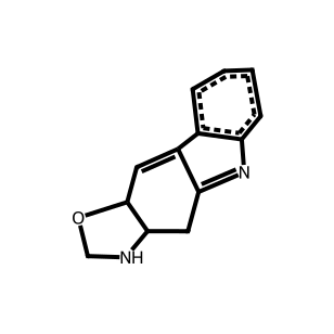 C1=C2C(=Nc3ccccc32)CC2NCOC12